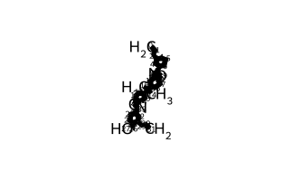 C=CCc1cccc(-c2nc3cc(C(C)(C)c4ccc5oc(-c6ccc(CO)c(CC=C)c6)nc5c4)ccc3o2)c1